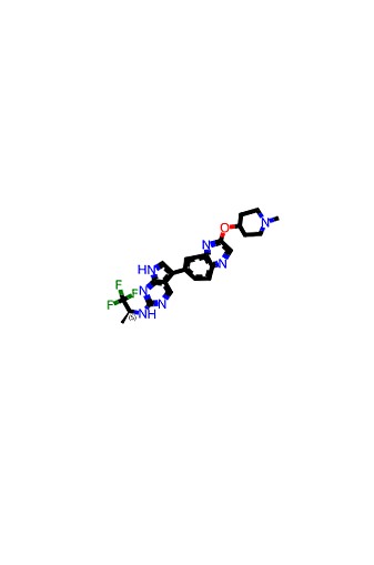 C[C@H](Nc1ncc2c(-c3ccc4ncc(OC5CCN(C)CC5)nc4c3)c[nH]c2n1)C(F)(F)F